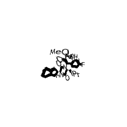 CON(C)C(=O)[C@@H](c1ccc(F)cc1F)N1C(=O)[C@@H](C2Cc3ccccc3C2)NC(=O)[C@H]1CC(C)C